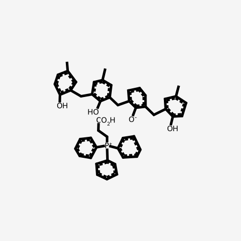 Cc1ccc(O)c(Cc2cccc(Cc3cc(C)cc(Cc4cc(C)ccc4O)c3O)c2[O-])c1.O=C(O)CC[P+](c1ccccc1)(c1ccccc1)c1ccccc1